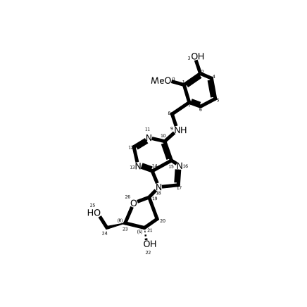 COc1c(O)cccc1CNc1ncnc2c1ncn2C1C[C@H](O)[C@@H](CO)O1